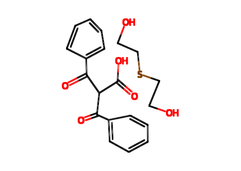 O=C(O)C(C(=O)c1ccccc1)C(=O)c1ccccc1.OCCSCCO